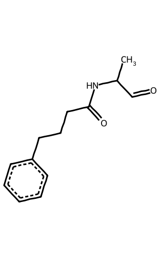 CC(C=O)NC(=O)CCCc1ccccc1